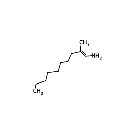 CCCCCCCCC(C)=CN